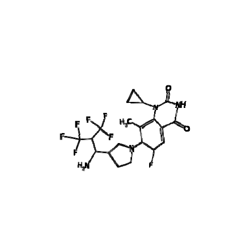 CC1=c2c(c(=O)[nH]c(=O)n2C2CC2)=CC(F)C1N1CCC(C(N)C(C(F)(F)F)C(F)(F)F)C1